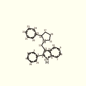 c1ccc(-c2[nH]c3ccccc3c2CN2CCCC2c2ccccc2)cc1